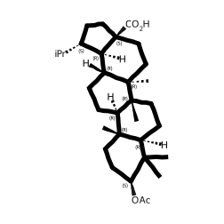 CC(=O)O[C@H]1CC[C@]2(C)[C@H]3CC[C@@H]4[C@H]5[C@H](C(C)C)CC[C@]5(C(=O)O)CC[C@@]4(C)[C@]3(C)CC[C@H]2C1(C)C